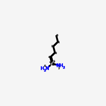 CCCC[CH]=[Ta]([NH2])[NH2]